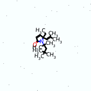 CCC1(C=C(C)C)C=CC(=O)N1C(C)(C)CC(C)(C)C